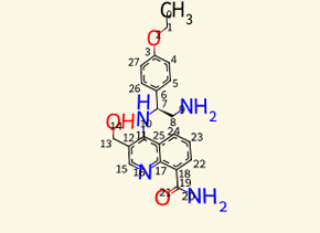 CCOc1ccc([C@@H](CN)Nc2c(CO)cnc3c(C(N)=O)cccc23)cc1